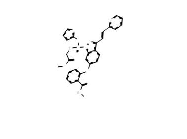 CNC(=O)c1ccccc1Sc1ccc2c(/C=C/c3ccccn3)nn(P(=O)(N[C@@H](C)C(=O)OC)Oc3ccco3)c2c1